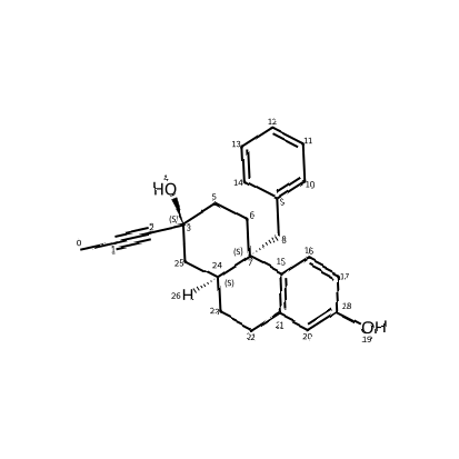 CC#C[C@]1(O)CC[C@@]2(Cc3ccccc3)c3ccc(O)cc3CC[C@H]2C1